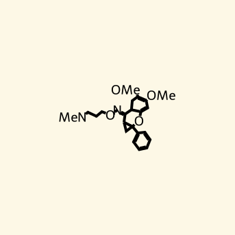 CNCCCON=C1C2CC(OC)=C(OC)C=C2OC2(c3ccccc3)CC12